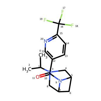 CC(C)N1CC2CC(C1)N2C(=O)c1ccc(C(F)(F)F)nc1